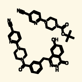 CC(C)(C)OC(=O)N1CCN(c2ccc(C#N)cn2)CC1.N#Cc1ccc(N2CCN(C(=O)c3cccc(Cc4n[nH]c(=O)c5ccc(O)cc45)c3)CC2)nc1